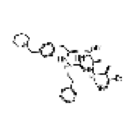 C=C(Cc1ccc(CN2CCCCC2)cc1)N[C@@H](CCc1ccccc1)C(=C)N[C@@H](CCC)C(=C)N[C@@H](CC(C)C)C(=C)C(=C)CC